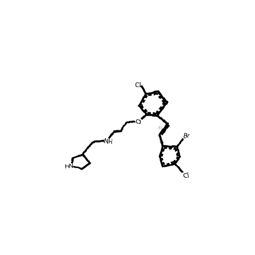 Clc1ccc(/C=C/c2ccc(Cl)cc2OCCCNCC2CCNC2)c(Br)c1